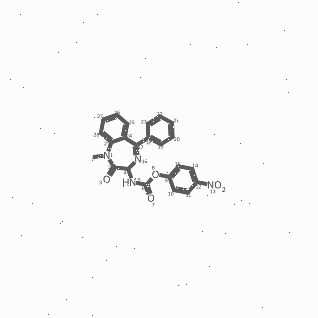 CN1C(=O)C(NC(=O)Oc2ccc([N+](=O)[O-])cc2)N=C(c2ccccc2)c2ccccc21